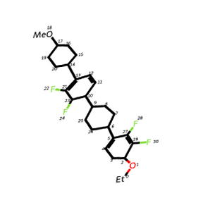 CCOC1CC=C(C2CCC(C3C=CC(C4CCC(OC)CC4)=C(F)C3F)CC2)C(F)=C1F